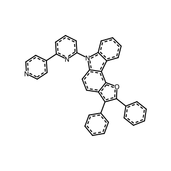 c1ccc(-c2oc3c(ccc4c3c3ccccc3n4-c3cccc(-c4ccncc4)n3)c2-c2ccccc2)cc1